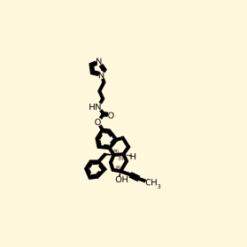 CC#C[C@@]1(O)CC[C@]2(Cc3ccccc3)c3ccc(OC(=O)NCCCn4ccnc4)cc3CC[C@H]2C1